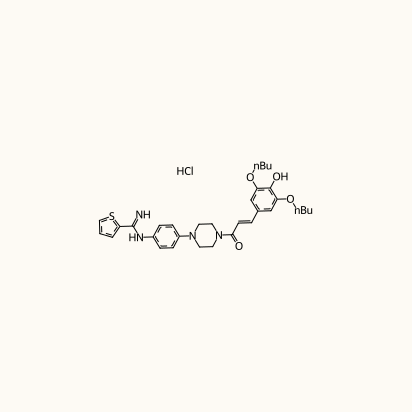 CCCCOc1cc(C=CC(=O)N2CCN(c3ccc(NC(=N)c4cccs4)cc3)CC2)cc(OCCCC)c1O.Cl